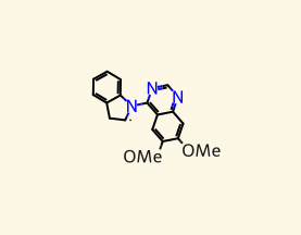 COc1cc2ncnc(N3[CH]Cc4ccccc43)c2cc1OC